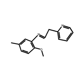 COc1ccc(C)cc1N=CCc1ccccn1